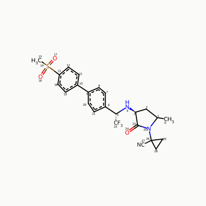 CC1C[C@H](N[C@@H](c2ccc(-c3ccc(S(C)(=O)=O)cc3)cc2)C(F)(F)F)C(=O)N1C1(C#N)CC1